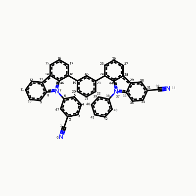 N#Cc1cccc(-n2c3ccccc3c3cccc(-c4cccc(-c5cccc6c7cc(C#N)ccc7n(-c7ccccc7)c56)c4)c32)c1